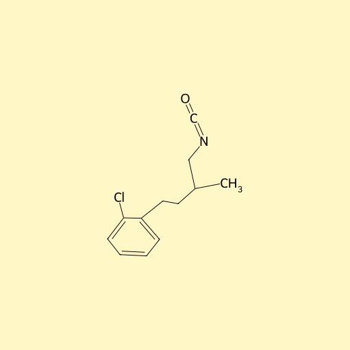 CC(CCc1ccccc1Cl)CN=C=O